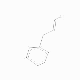 CCC=C[CH]c1ccccc1